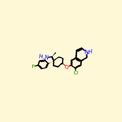 C[C@H](N)[C@]1(c2ccc(F)cc2)CC[C@H](Oc2cc3c(cc2Cl)CNC=C3)CC1